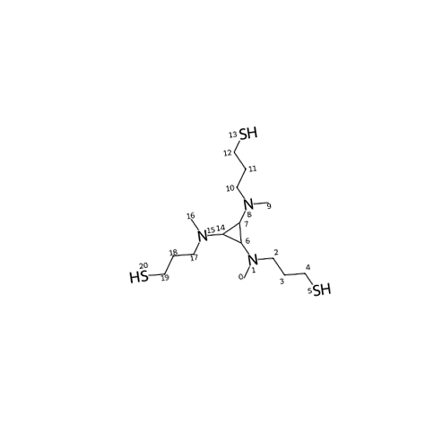 CN(CCCS)C1C(N(C)CCCS)C1N(C)CCCS